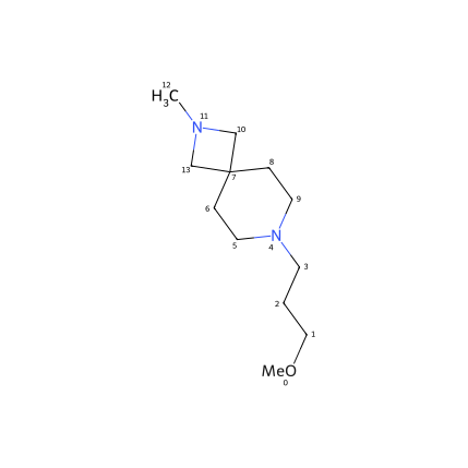 COCCCN1CCC2(CC1)CN(C)C2